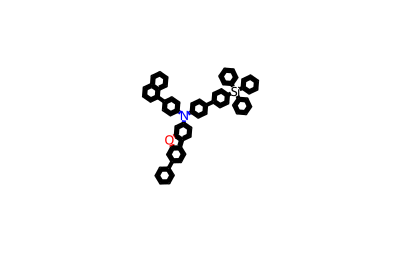 c1ccc(-c2ccc3c(c2)oc2cc(N(c4ccc(-c5ccc([Si](c6ccccc6)(c6ccccc6)c6ccccc6)cc5)cc4)c4ccc(-c5cccc6ccccc56)cc4)ccc23)cc1